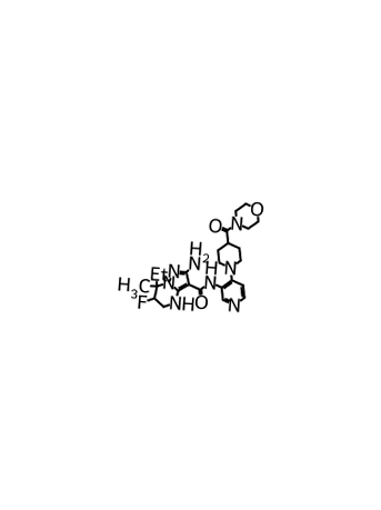 CCC1(C)C(F)CNc2c(C(=O)Nc3cnccc3N3CCC(C(=O)N4CCOCC4)CC3)c(N)nn21